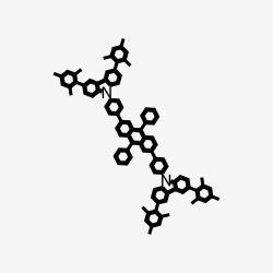 Cc1cc(C)c(-c2ccc3c(c2)c2cc(-c4c(C)cc(C)cc4C)ccc2n3-c2ccc(-c3ccc4c(-c5ccccc5)c5cc(-c6ccc(-n7c8ccc(-c9c(C)cc(C)cc9C)cc8c8cc(-c9c(C)cc(C)cc9C)ccc87)cc6)ccc5c(-c5ccccc5)c4c3)cc2)c(C)c1